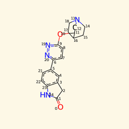 O=C1Cc2cc(-c3ccc(OC4CN5CCC4CC5)nn3)ccc2N1